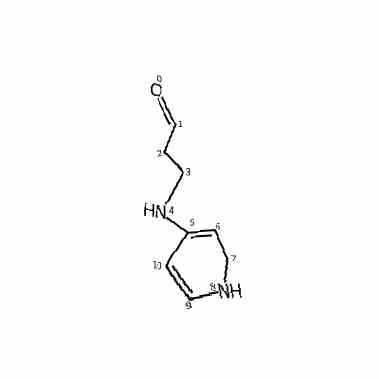 O=CCCNC1=CCNC=C1